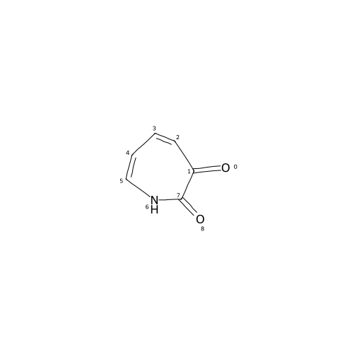 O=c1cccc[nH]c1=O